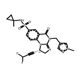 Cn1cc(CN2C(=O)c3cc(S(=O)(=O)NC4(C)CC4)ccc3N3C2=NC[C@@H]3C#CC(F)F)cn1